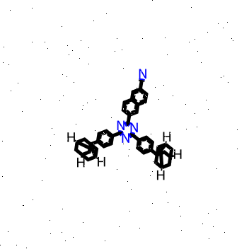 N#Cc1ccc2cc(-c3nc(-c4ccc(C56C[C@H]7C[C@@H](C5)C[C@@H](C6)C7)cc4)nc(-c4ccc(C56C[C@H]7C[C@@H](C5)C[C@@H](C6)C7)cc4)n3)ccc2c1